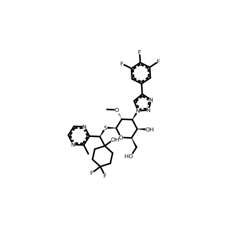 CO[C@@H]1[C@@H](n2cc(-c3cc(F)c(F)c(F)c3)nn2)[C@@H](O)[C@@H](CO)O[C@H]1S[C@H](c1nccnc1C)C1(O)CCC(F)(F)CC1